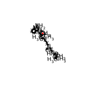 CCOCc1nc2c(N)nc3ccccc3c2n1CC(C)(C)OC(=O)CCCCCN(CCl)CCCNC(=O)OC(C)(C)C